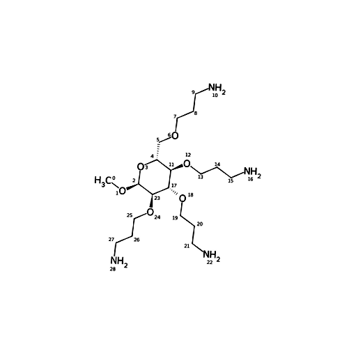 CO[C@H]1O[C@H](COCCCN)[C@@H](OCCCN)[C@H](OCCCN)[C@H]1OCCCN